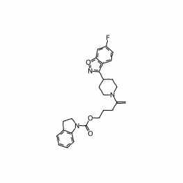 C=C(CCCOC(=O)N1CCc2ccccc21)N1CCC(c2noc3cc(F)ccc23)CC1